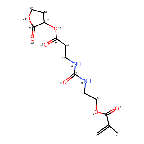 C=C(C)C(=O)OCCNC(=O)NCCC(=O)OC1CCOC1=O